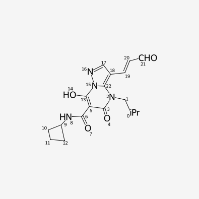 CC(C)Cn1c(=O)c(C(=O)NC2CCC2)c(O)n2ncc(/C=C/C=O)c12